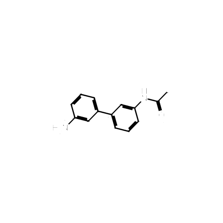 CC(=O)Nc1cccc(-c2cccc(N)c2)c1